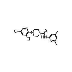 Cc1cc(C)nc(NC(=S)N2CCN(c3ncc(Cl)cc3Cl)CC2)c1